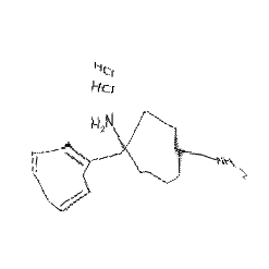 Cl.Cl.NC1CCC(N)(c2ccccc2)CC1